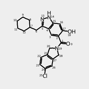 O=C(c1cc2c(CC3CCCCC3)n[nH]c2cc1O)N1Cc2ccc(Cl)cc2C1